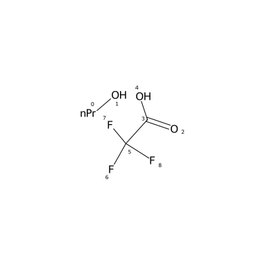 CCCO.O=C(O)C(F)(F)F